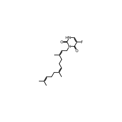 CC(C)=CCCC(C)=CCCC(C)=CCn1c(=O)[nH]cc(F)c1=O